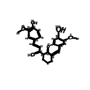 COc1cc(/C=C2/CCCC(C(=O)/C=C/c3ccc(O)c(OC)c3)C2=O)ccc1O